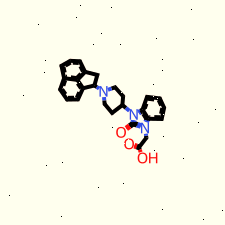 O=C(O)Cn1c(=O)n(C2CCN(C3Cc4cccc5cccc3c45)CC2)c2ccccc21